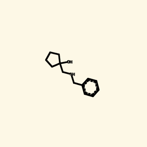 OC1(CNCc2ccccc2)CCCC1